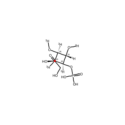 [2H]O[C@]([2H])([C@@]([2H])(OP(=O)(O)O)C([2H])=O)[C@]([2H])(O[2H])[C@H](O)CO